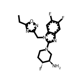 CCc1nc(Cn2c(N3CC[C@@H](F)[C@H](N)C3)nc3cc(F)c(F)cc32)no1